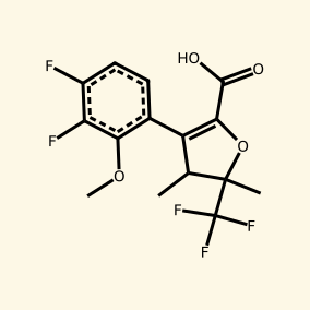 COc1c(C2=C(C(=O)O)OC(C)(C(F)(F)F)C2C)ccc(F)c1F